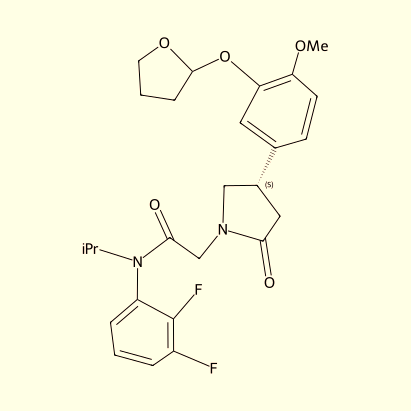 COc1ccc([C@@H]2CC(=O)N(CC(=O)N(c3cccc(F)c3F)C(C)C)C2)cc1OC1CCCO1